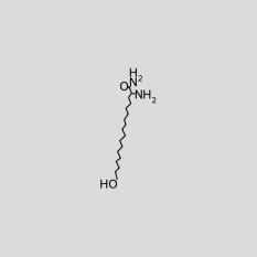 NC(=O)C(N)CCCCCCCCCCCCCCCCO